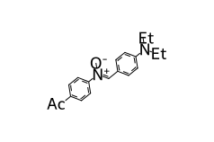 CCN(CC)c1ccc(C=[N+]([O-])c2ccc(C(C)=O)cc2)cc1